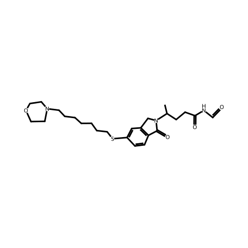 CC(CCC(=O)NC=O)N1Cc2cc(SCCCCCCCN3CCOCC3)ccc2C1=O